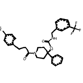 O=C(NCc1cccc(C(F)(F)F)c1)OC1(c2ccccc2)CCN(C(=O)CCc2ccc(F)cc2)CC1